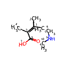 CC(C)=C(C)C(=O)O.CNC